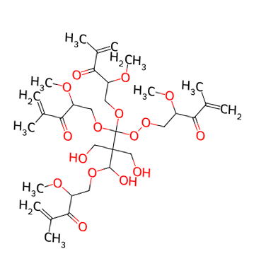 C=C(C)C(=O)C(COOC(OCC(OC)C(=O)C(=C)C)(OCC(OC)C(=O)C(=C)C)C(CO)(CO)C(O)OCC(OC)C(=O)C(=C)C)OC